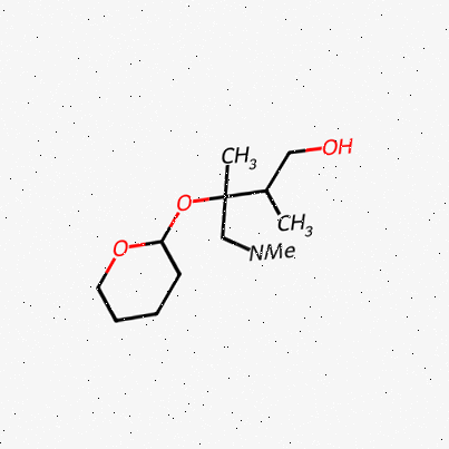 CNCC(C)(OC1CCCCO1)C(C)CO